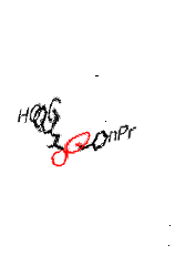 CCCc1ccc(COC(=O)C(C)CC(CC(=O)O)Cc2ccccc2)cc1